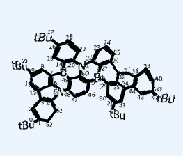 CC(C)(C)C1=Cc2c(n3c4c(cc(C(C)(C)C)cc24)B2c4cc(C(C)(C)C)ccc4N4c5cccc6c5B(c5cc(C(C)(C)C)cc7c5C6Cc5ccc(C(C)(C)C)cc5-7)c5ccc-3c2c54)CC1